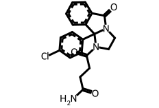 NC(=O)CCC(=O)N1CCN2C(=O)c3ccccc3C12c1ccc(Cl)cc1